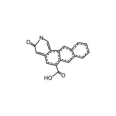 O=C1C=c2cc(C(=O)O)c3cc4ccccc4cc3c2=C[N]1